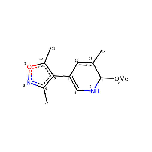 COC1NC=C(c2c(C)noc2C)C=C1C